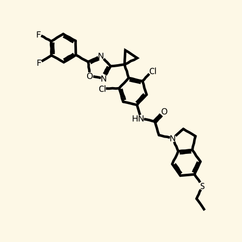 CCSc1ccc2c(c1)CCN2CC(=O)Nc1cc(Cl)c(C2(c3noc(-c4ccc(F)c(F)c4)n3)CC2)c(Cl)c1